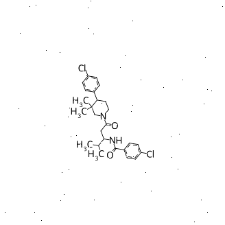 CC(C)C(CC(=O)N1CCC(c2ccc(Cl)cc2)C(C)(C)C1)NC(=O)c1ccc(Cl)cc1